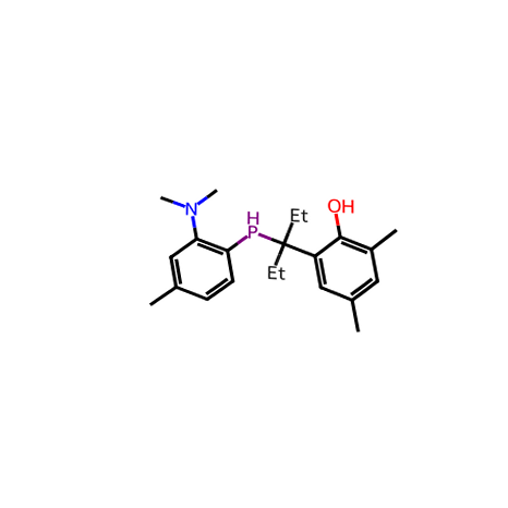 CCC(CC)(Pc1ccc(C)cc1N(C)C)c1cc(C)cc(C)c1O